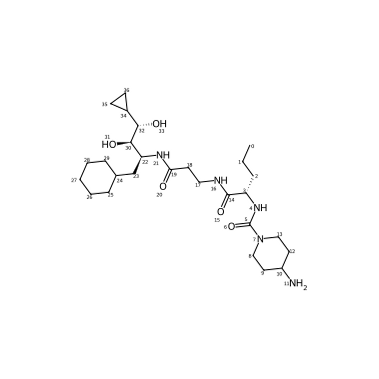 CCC[C@H](NC(=O)N1CCC(N)CC1)C(=O)NCCC(=O)N[C@@H](CC1CCCCC1)[C@@H](O)[C@@H](O)C1CC1